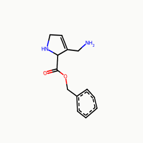 NCC1=CCNC1C(=O)OCc1ccccc1